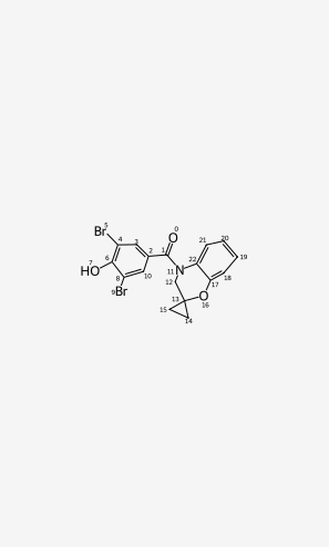 O=C(c1cc(Br)c(O)c(Br)c1)N1CC2(CC2)Oc2ccccc21